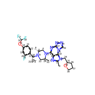 Cc1nc2c(N3C[C@@H](C)N([C@@H](c4ccc(OC(F)F)cc4F)C(C)C)C[C@@H]3C)nc3nncn3c2n1CC1CCCO1